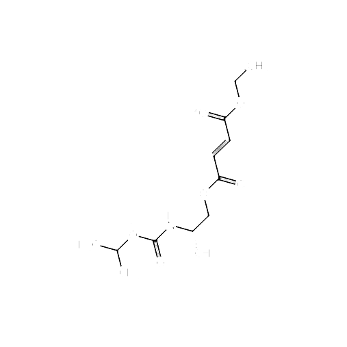 CCOC(=O)/C=C/C(=O)OC[C@H](C)NC(=O)OC(C)C